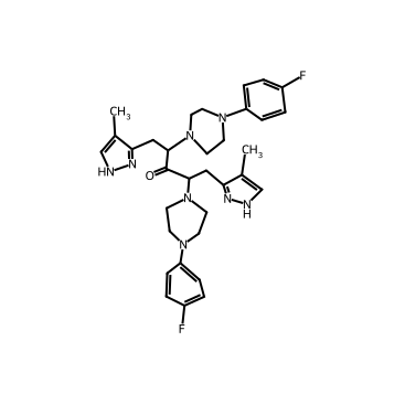 Cc1c[nH]nc1CC(C(=O)C(Cc1n[nH]cc1C)N1CCN(c2ccc(F)cc2)CC1)N1CCN(c2ccc(F)cc2)CC1